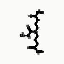 COC(=O)CCCN(CCCC(=O)OC)C(=O)OC(C)(C)C